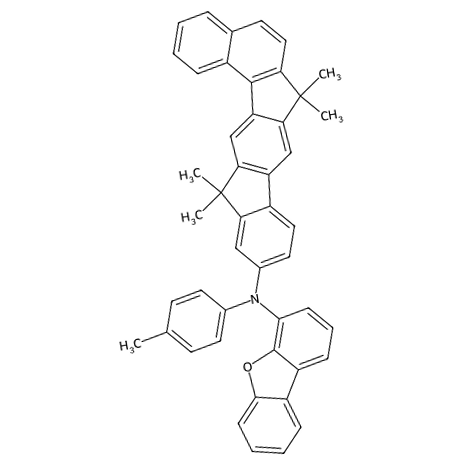 Cc1ccc(N(c2ccc3c(c2)C(C)(C)c2cc4c(cc2-3)C(C)(C)c2ccc3ccccc3c2-4)c2cccc3c2oc2ccccc23)cc1